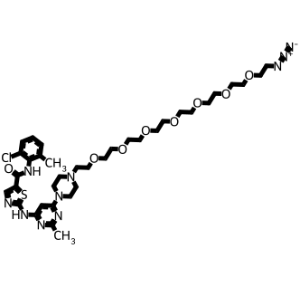 Cc1nc(Nc2ncc(C(=O)Nc3c(C)cccc3Cl)s2)cc(N2CCN(CCOCCOCCOCCOCCOCCOCCOCCN=[N+]=[N-])CC2)n1